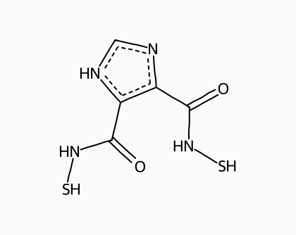 O=C(NS)c1nc[nH]c1C(=O)NS